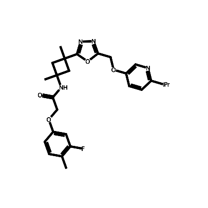 Cc1ccc(OCC(=O)NC2(C)CC(C)(c3nnc(COc4ccc(C(C)C)nc4)o3)C2)cc1F